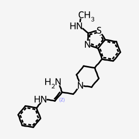 CNc1nc2c(C3CCN(C/C(N)=C/Nc4ccccc4)CC3)cccc2s1